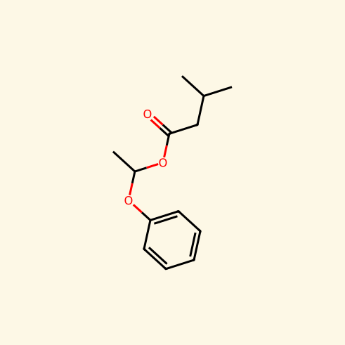 CC(C)CC(=O)OC(C)Oc1ccccc1